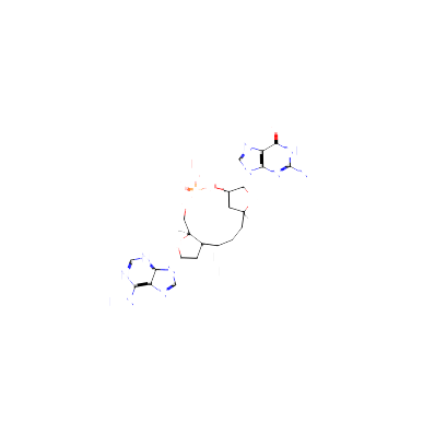 C[C@H]1[C@@H]2CCC[C@@H]3C[C@@H](OP(=O)(O)OC[C@H]2O[C@H]1n1cnc2c(N)ncnc21)[C@H](n1cnc2c(=O)[nH]c(N)nc21)O3